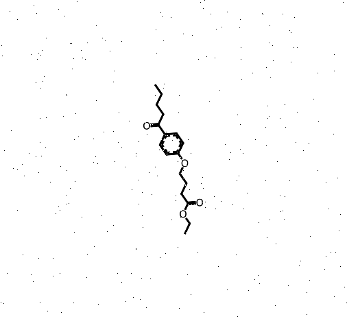 CCCCC(=O)c1ccc(OCCCC(=O)OCC)cc1